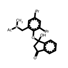 CC(=O)N(C)Cc1cc(C(C)C)cc(C(C)C)c1OC1(O)CC(=O)c2ccccc21